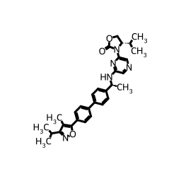 Cc1c(C(C)C)noc1-c1ccc(-c2ccc([C@H](C)Nc3cncc(N4C(=O)OC[C@@H]4C(C)C)n3)cc2)cc1